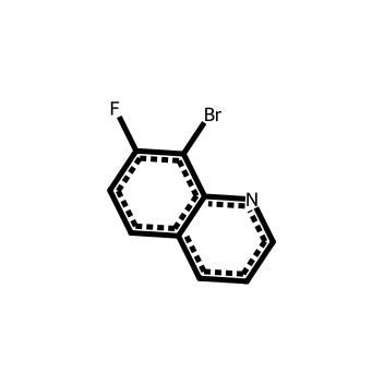 Fc1ccc2cccnc2c1Br